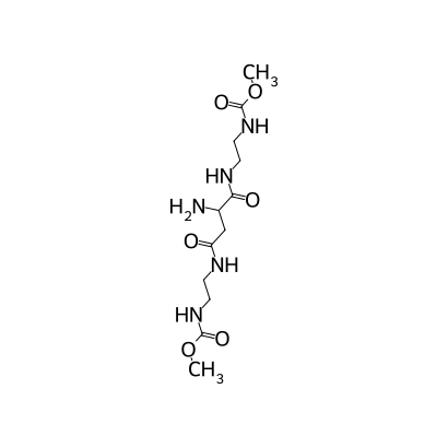 COC(=O)NCCNC(=O)CC(N)C(=O)NCCNC(=O)OC